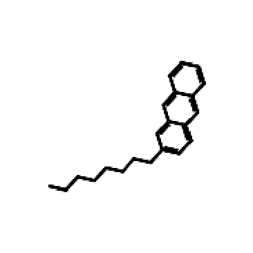 CCCCCCCCc1ccc2cc3ccc[c]c3cc2c1